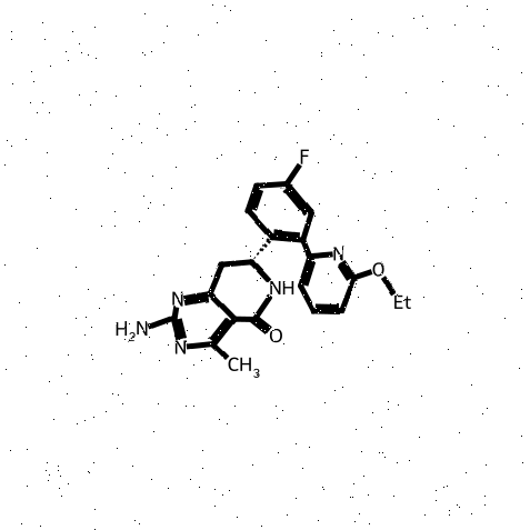 CCOc1cccc(-c2cc(F)ccc2[C@H]2Cc3nc(N)nc(C)c3C(=O)N2)n1